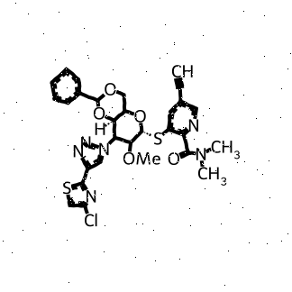 C#Cc1cnc(C(=O)N(C)C)c(S[C@H]2OC3COC(c4ccccc4)O[C@@H]3C(n3cc(-c4nc(Cl)cs4)nn3)C2OC)c1